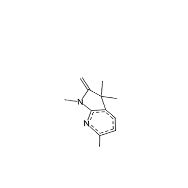 C=C1N(C)c2nc(C)ccc2C1(C)C